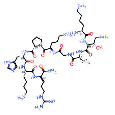 C[C@H](NC(=O)[C@@H](NC(=O)[C@@H](N)CCCCN)[C@@H](O)CN)C(=O)NCC(=O)/N=C(\CCCN)C(=O)N1CCC[C@H]1C(=O)N[C@@H](Cc1cnc[nH]1)C(=O)N[C@@H](CCCCN)C(=O)N/C(=C\CCNC(=N)N)C(N)=O